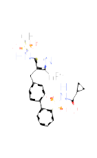 CCCc1nsc(NS(=O)(=O)C(F)(F)F)c1Cc1ccc(-c2ccccc2S(=O)(=O)NC(=O)C2CC2)cc1